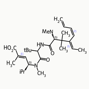 C=C/C=C\C(=C/C)C(C)(C)[C@H](NC)C(=O)NC(C(=O)N(C)[C@H](/C=C(\C)C(=O)O)C(C)C)C(C)(C)C